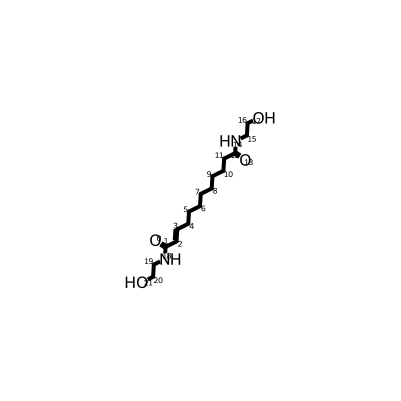 O=C(C=CCCCCCCCCC(=O)NCCO)NCCO